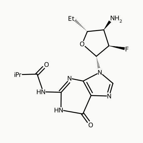 CC[C@H]1O[C@@H](n2cnc3c(=O)[nH]c(NC(=O)C(C)C)nc32)[C@H](F)[C@@H]1N